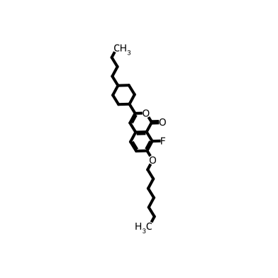 CCCCCCCOc1ccc2cc(C3CCC(CCCC)CC3)oc(=O)c2c1F